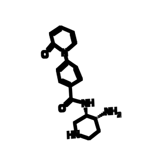 N[C@@H]1CCNC[C@@H]1NC(=O)c1ccc(-n2ccccc2=O)cc1